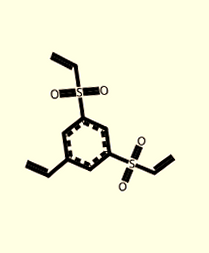 C=Cc1cc(S(=O)(=O)C=C)cc(S(=O)(=O)C=C)c1